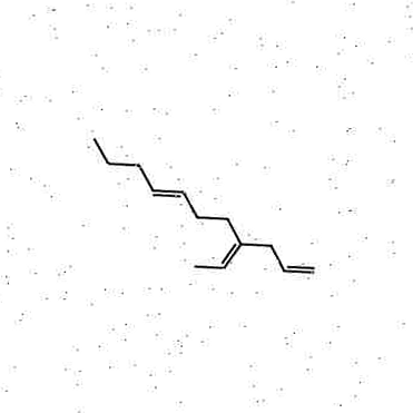 C=CCC(=CC)CCC=CCCC